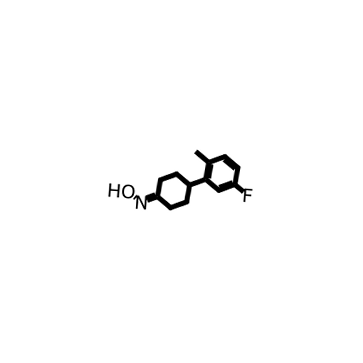 Cc1ccc(F)cc1C1CCC(=NO)CC1